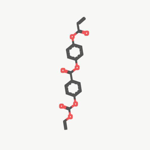 C=COC(=O)Oc1ccc(C(=O)Oc2ccc(OC(=O)C=C)cc2)cc1